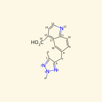 Cc1nn(C)nc1Cc1ccc2nccc(C(=O)O)c2c1